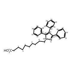 O=C(O)CCCCCCCCCn1nc(-c2ccccc2)c(-c2ccccc2)c1-c1ccccc1